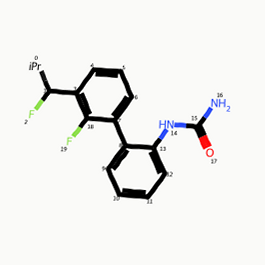 CC(C)[C](F)c1cccc(-c2ccccc2NC(N)=O)c1F